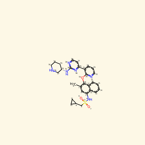 Cc1cc(NS(=O)(=O)CC2CC2)c2ccccc2c1Oc1ncccc1-c1ccnc(N[C@H]2CCCNC2)n1